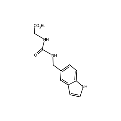 CCOC(=O)CNC(=O)NCc1ccc2[nH]ccc2c1